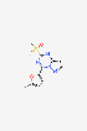 Cc1ccc(-c2nc(S(C)(=O)=O)nc3ccnn23)o1